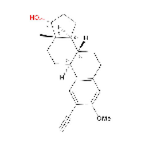 C#Cc1cc2c(cc1OC)CC[C@@H]1[C@@H]2CC[C@]2(C)[C@H](O)CC[C@@H]12